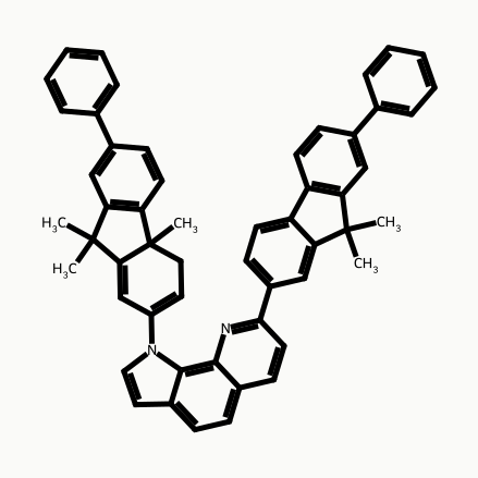 CC1(C)C2=CC(n3ccc4ccc5ccc(-c6ccc7c(c6)C(C)(C)c6cc(-c8ccccc8)ccc6-7)nc5c43)=CCC2(C)c2ccc(-c3ccccc3)cc21